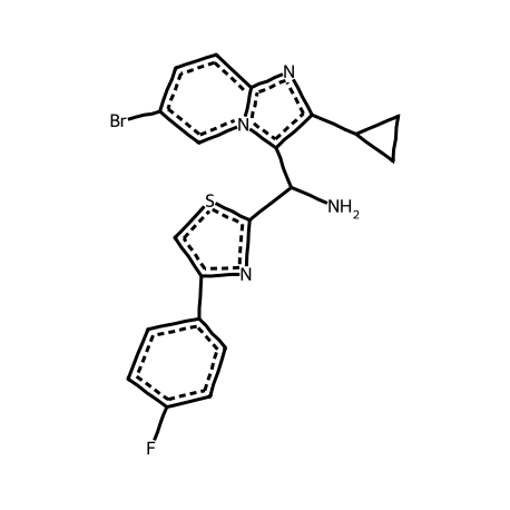 NC(c1nc(-c2ccc(F)cc2)cs1)c1c(C2CC2)nc2ccc(Br)cn12